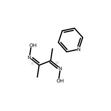 CC(=N/O)/C(C)=N\O.c1ccncc1